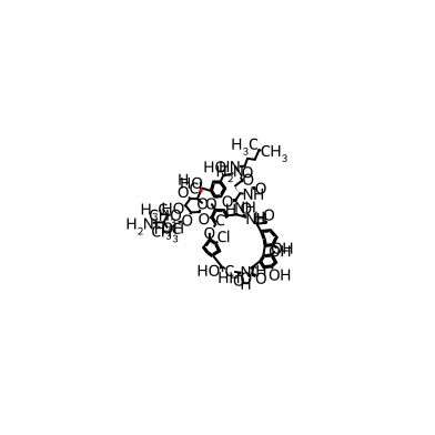 CC(C)CCC(=O)NC[C@H](O)c1ccc(Oc2cc3cc(c2OC2OC(CO)C(O)C(O)C2O[C@@H](C)O[C@H](C)C(O)C(C)(C)N)Oc2ccc(cc2Cl)[C@@H](O)CC(=O)N[C@@H](C(=O)O)c2cc(O)cc(O)c2-c2cc(ccc2O)[C@H](C=O)NC(=O)[C@@H]3NC(=O)[C@H](CC(N)=O)NC=O)c(Cl)c1